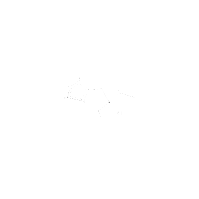 CCC(O)(CC)Cn1cncn1